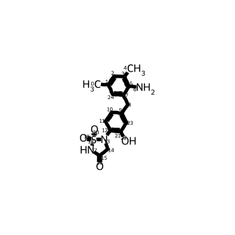 Cc1cc(C)c(N)c(Cc2ccc(N3CC(=O)NS3(=O)=O)c(O)c2)c1